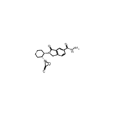 NNC(=O)c1ccc2c(c1)C(=O)N([C@@H]1CCCC[C@H]1N1OC1=O)C2